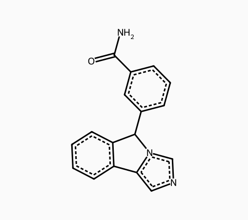 NC(=O)c1cccc(C2c3ccccc3-c3cncn32)c1